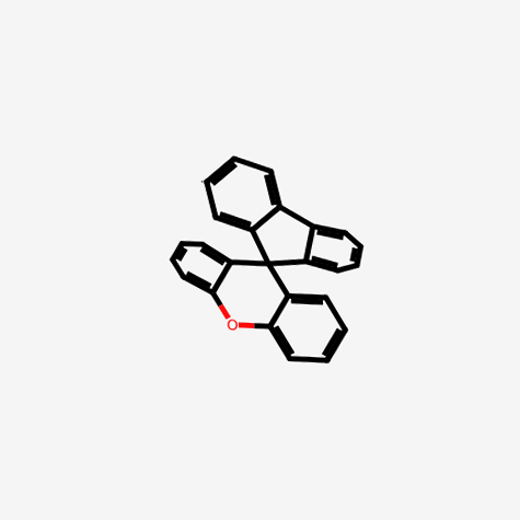 [c]1ccc2c(c1)C1(c3ccccc3Oc3ccccc31)c1ccccc1-2